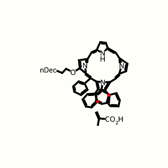 C=C(C)C(=O)O.CCCCCCCCCCCCOC1=Cc2cc3ccc(cc4nc(cc5c(-c6ccccc6)c(-c6ccccc6)c(c(-c6ccccc6)c1n2)n5-c1ccccc1)C=C4)[nH]3